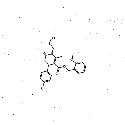 COc1ccccc1COC(=O)C1=C(C)N(CCO)C(=O)CC1c1ccc(Cl)cc1